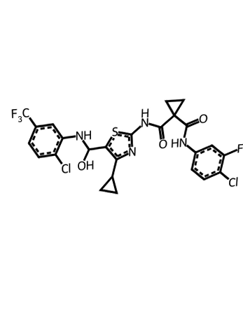 O=C(Nc1ccc(Cl)c(F)c1)C1(C(=O)Nc2nc(C3CC3)c(C(O)Nc3cc(C(F)(F)F)ccc3Cl)s2)CC1